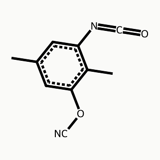 Cc1cc(N=C=O)c(C)c(OC#N)c1